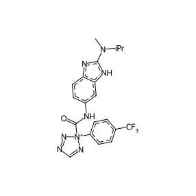 CC(C)N(C)c1nc2ccc(NC(=O)[N+]3(c4ccc(C(F)(F)F)cc4)N=CN=N3)cc2[nH]1